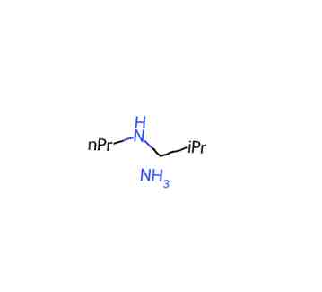 CCCNCC(C)C.N